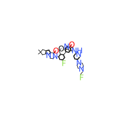 CC(=O)OCc1c(-c2cc(Nc3ccc(N4CCN(CCF)CC4)cn3)c(=O)n(C)c2)cc(F)cc1N1CCn2c(cc3c2CC(C)(C)C3)C1=O